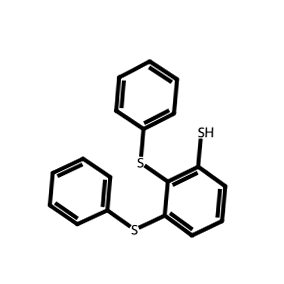 Sc1cccc(Sc2ccccc2)c1Sc1ccccc1